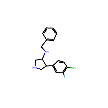 Fc1cc(C2CNCC2NCc2ccccc2)ccc1Cl